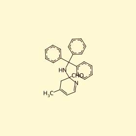 CC1=CC=NC(C=O)(NC(c2ccccc2)(c2ccccc2)c2ccccc2)C1